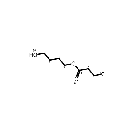 O=C(CCCl)OCCCCO